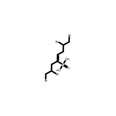 O=P(O)(O)/C(=C\CC(Br)CBr)CC(Br)CBr